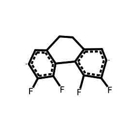 Fc1[c]cc2c(c1F)-c1c(c[c]c(F)c1F)CC2